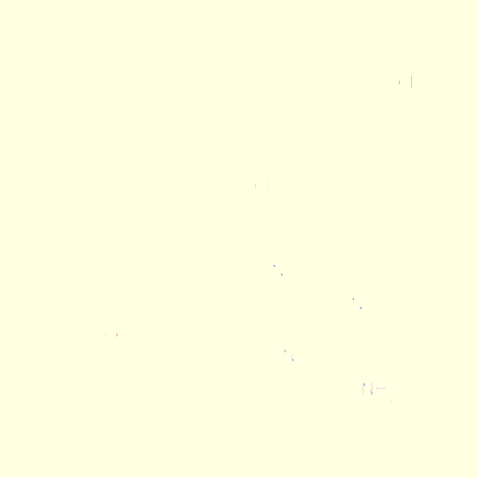 COc1ccccc1Sc1nc(N)nc(-c2ccc(Cl)cc2Cl)n1